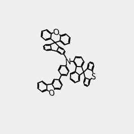 c1ccc2c(c1)Oc1ccccc1C21c2ccccc2-c2cc(N(c3ccc(-c4ccc5oc6ccccc6c5c4)cc3)c3cccc4c3-c3ccccc3C43c4ccccc4Sc4ccccc43)ccc21